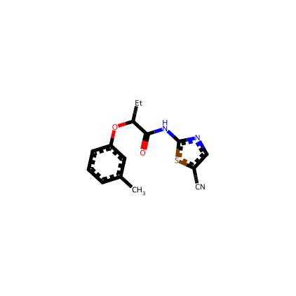 CCC(Oc1cccc(C)c1)C(=O)Nc1ncc(C#N)s1